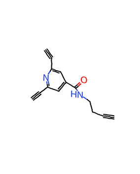 C#CCCNC(=O)c1cc(C#C)nc(C#C)c1